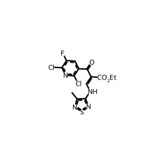 CCOC(=O)C(=CNc1nsnc1C)C(=O)c1cc(F)c(Cl)nc1Cl